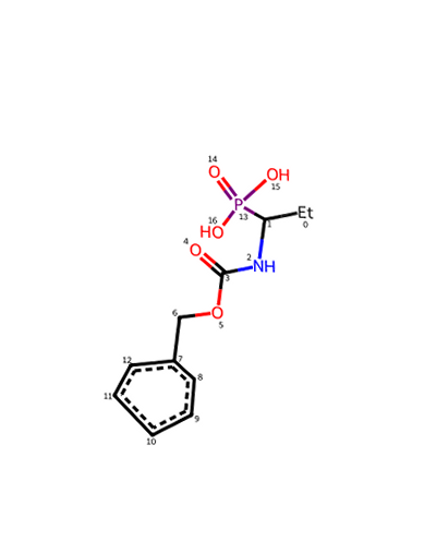 CCC(NC(=O)OCc1ccccc1)P(=O)(O)O